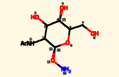 CC(=O)NC1C(O)[C@@H](O)C(CO)O[C@H]1ON